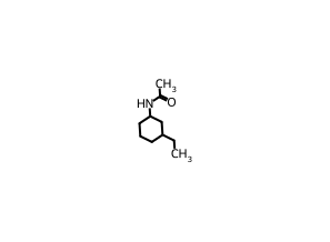 CCC1CCCC(NC(C)=O)C1